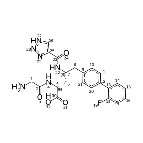 NCC(=O)N[C@H](C[C@@H](Cc1ccc(-c2ccccc2F)cc1)NC(=O)c1c[nH]nn1)C(=O)O